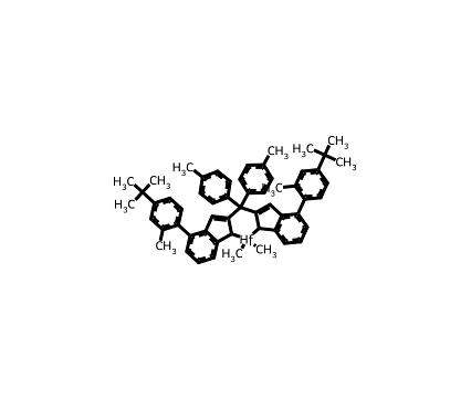 Cc1ccc(C2(c3ccc(C)cc3)C3=Cc4c(-c5ccc(C(C)(C)C)cc5C)cccc4[CH]3[Hf]([CH3])([CH3])[CH]3C2=Cc2c(-c4ccc(C(C)(C)C)cc4C)cccc23)cc1